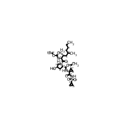 C=CCCC(C)C[C@@H](C)[C@H](NC(=O)OC(C)(C)C)C(=O)N1C[C@H](O)C[C@H]1C(=O)N[C@]1(C(=O)NS(=O)(=O)C2CC2)C[C@H]1C=C